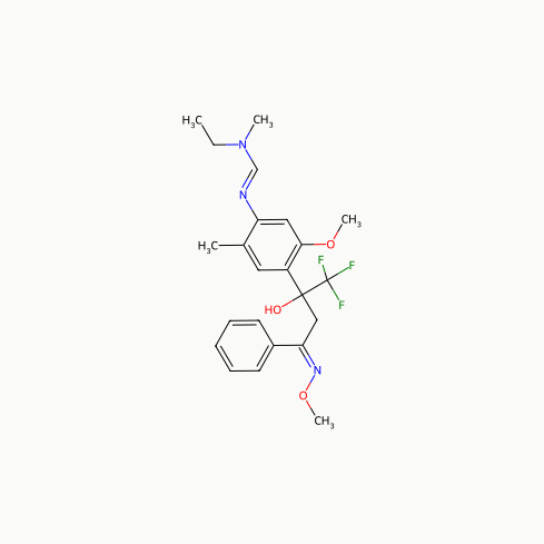 CCN(C)C=Nc1cc(OC)c(C(O)(C/C(=N/OC)c2ccccc2)C(F)(F)F)cc1C